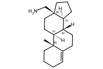 C[C@]12CCCC=C1CC[C@H]1[C@@H]3CCC[C@@]3(CN)CC[C@@H]12